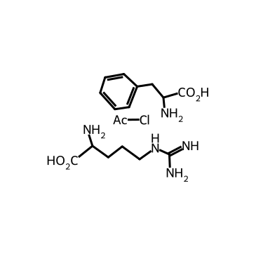 CC(=O)Cl.N=C(N)NCCCC(N)C(=O)O.NC(Cc1ccccc1)C(=O)O